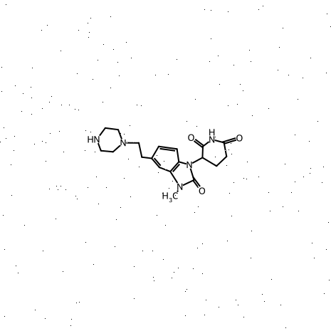 Cn1c(=O)n(C2CCC(=O)NC2=O)c2ccc(CCN3CCNCC3)cc21